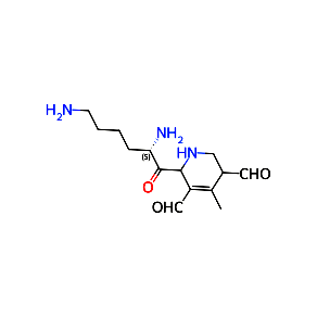 CC1=C(C=O)C(C(=O)[C@@H](N)CCCCN)NCC1C=O